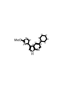 COC1=NC(c2c[nH]c3ncc(C4CCCCC4)cc23)CS1